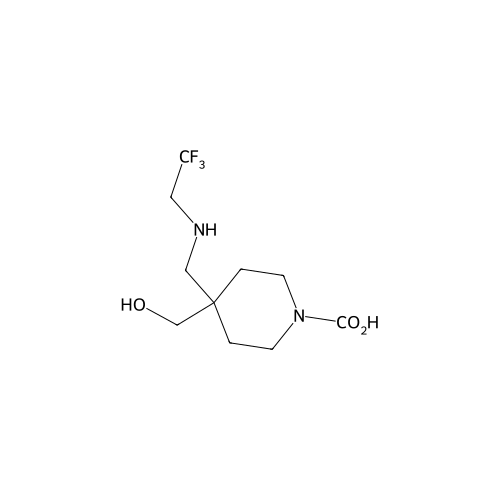 O=C(O)N1CCC(CO)(CNCC(F)(F)F)CC1